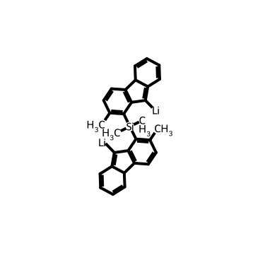 [Li][C]1=C2C=CC=CC2c2ccc(C)c([Si](C)(C)c3c(C)ccc4c3[C]([Li])=C3C=CC=CC34)c21